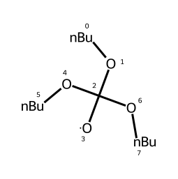 CCCCOC([O])(OCCCC)OCCCC